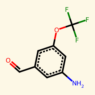 Nc1cc(C=O)cc(OC(F)(F)F)c1